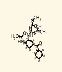 COC(=O)/N=C(/Nc1cc(C(=O)c2ccccc2)ccc1NC(C)=O)SC(C)C